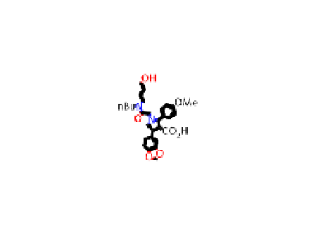 CCCCN(CCCCO)C(=O)CN1CC(c2ccc3c(c2)OCO3)C(C(=O)O)C1c1ccc(OC)cc1